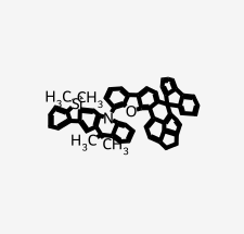 CC1(C)c2ccccc2N(c2cccc3c2oc2c4c(ccc23)C2(c3ccccc3-c3ccccc32)c2ccc3c5c(ccc-4c25)CC3)c2cc3c(cc21)-c1ccccc1[Si]3(C)C